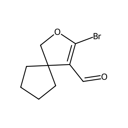 O=CC1=C(Br)OCC12CCCC2